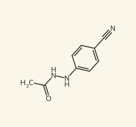 CC(=O)NNc1ccc(C#N)cc1